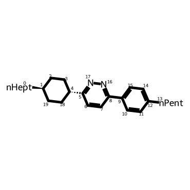 CCCCCCC[C@H]1CC[C@H](c2ccc(-c3ccc(CCCCC)cc3)nn2)CC1